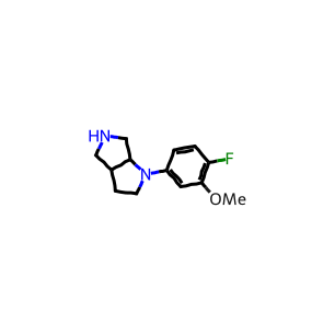 COc1cc(N2CCC3CNCC32)ccc1F